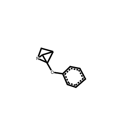 c1ccc(OC2C3CN2C3)cc1